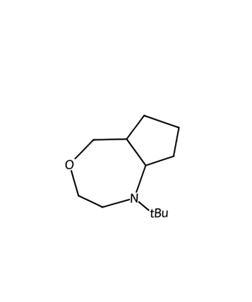 CC(C)(C)N1CCOCC2CCCC21